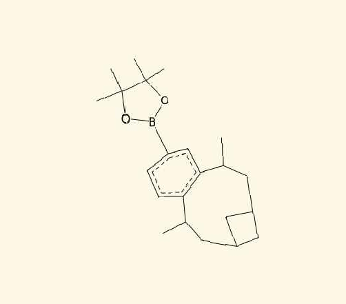 CC1CC2CC(C2)CC(C)c2cc(B3OC(C)(C)C(C)(C)O3)ccc21